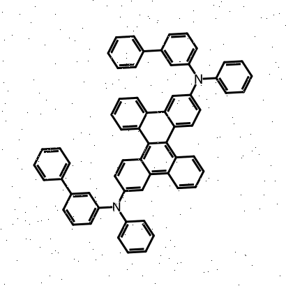 c1ccc(-c2cccc(N(c3ccccc3)c3ccc4c(c3)c3ccccc3c3c5ccc(N(c6ccccc6)c6cccc(-c7ccccc7)c6)cc5c5ccccc5c43)c2)cc1